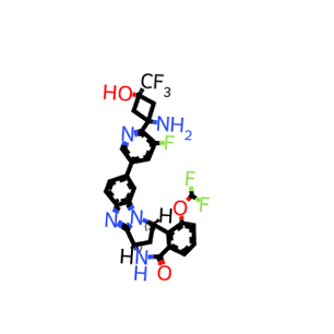 NC1(c2ncc(-c3ccc4nc5n(c4c3)[C@H]3C[C@@H]5NC(=O)c4cccc(OC(F)F)c43)cc2F)CC(O)(C(F)(F)F)C1